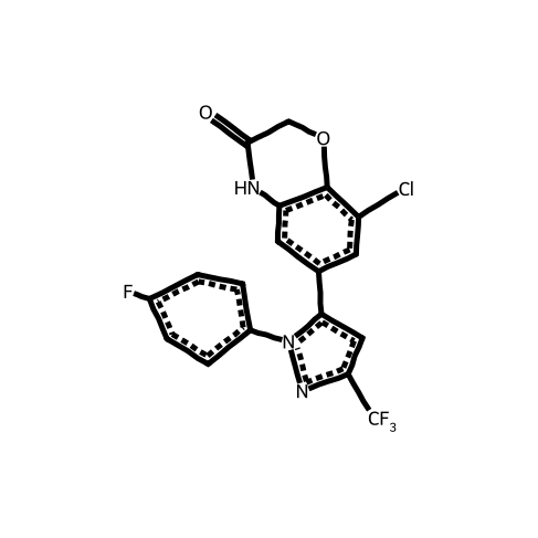 O=C1COc2c(Cl)cc(-c3cc(C(F)(F)F)nn3-c3ccc(F)cc3)cc2N1